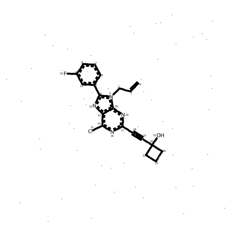 C=CCn1c(-c2cccc(F)c2)nc2c(Cl)nc(C#CC3(O)CCC3)nc21